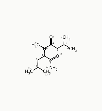 CC(C)CC(=O)N(C)C(CC(C)C)C(N)=O